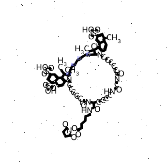 CCC1(C)\C2=C/C=C/C=C/C=C/C3N(CCCCCC(=O)NCC(=O)NCCCCC(C(=O)NCCCCCC(=O)ON4C(=O)CCC4=O)NC(=O)CCCCCN2c2ccc4c(S(=O)(=O)O)cc(S(=O)(=O)O)cc4c21)c1ccc2c(C)cc(S(=O)(=O)O)cc2c1C3(C)CC